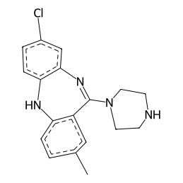 Cc1ccc2c(c1)C(N1CCNCC1)=Nc1cc(Cl)ccc1N2